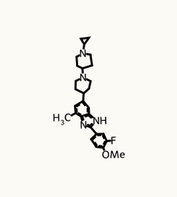 COc1ccc(-c2nc3c(C)cc(C4CCN(C5CCN(C6CC6)CC5)CC4)cc3[nH]2)cc1F